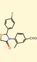 Cc1cc(C=O)ccc1N1C(=O)CSC1c1ccc(F)cc1